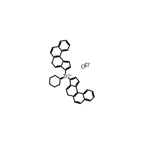 C1=C2C(=CC=[C]2[Zr+2]([C]2=CC=C3C2=CCc2ccc4ccccc4c23)=[C]2CCCCC2)c2c(ccc3ccccc23)C1.[Cl-].[Cl-]